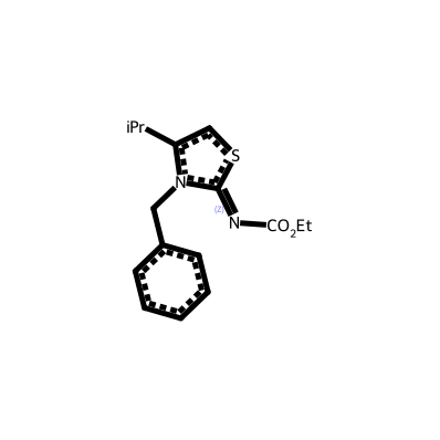 CCOC(=O)/N=c1\scc(C(C)C)n1Cc1ccccc1